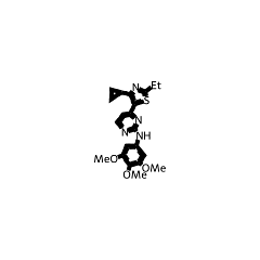 CCc1nc(C2CC2)c(-c2ccnc(Nc3cc(OC)c(OC)c(OC)c3)n2)s1